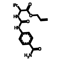 C=CCOC(=O)C(NC(=O)Nc1ccc(C(N)=O)cc1)C(C)C